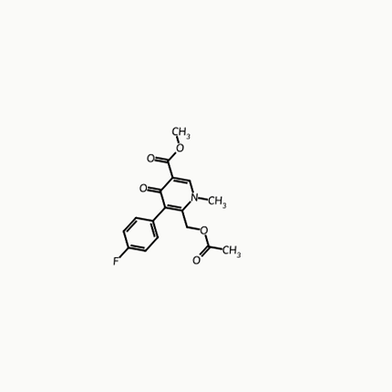 COC(=O)c1cn(C)c(COC(C)=O)c(-c2ccc(F)cc2)c1=O